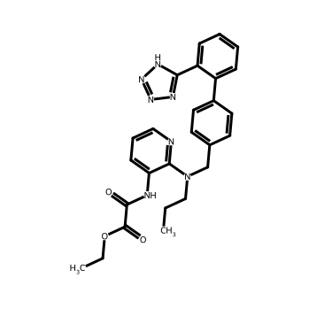 CCCN(Cc1ccc(-c2ccccc2-c2nnn[nH]2)cc1)c1ncccc1NC(=O)C(=O)OCC